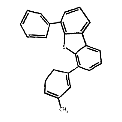 CC1=CCCC(c2cccc3c2sc2c(-c4ccccc4)cccc23)=C1